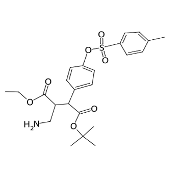 CCOC(=O)C(CN)C(C(=O)OC(C)(C)C)c1ccc(OS(=O)(=O)c2ccc(C)cc2)cc1